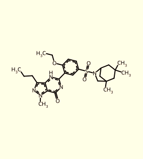 CCCc1nn(C)c2c(=O)nc(-c3cc(S(=O)(=O)N4CC5(C)CC4CC(C)(C)C5)ccc3OCC)[nH]c12